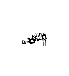 Cc1c(Br)ccc2c1ncn2CCC[C@H]1NCCC[C@@H]1O